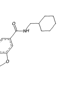 O=C(NCC1CCCCC1)c1ccc2c(c1)OCO2